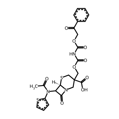 CC(=O)N(c1cccs1)C1C(=O)N2CC(COC(=O)NC(=O)OCC(=O)c3ccccc3)(C(=O)O)CS[C@H]12